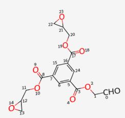 O=CCOC(=O)c1cc(C(=O)OCC2CO2)cc(C(=O)OCC2CO2)c1